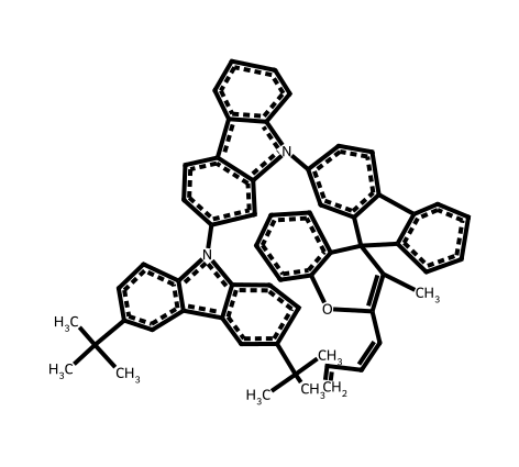 C=C/C=C\C1=C(C)C2(c3ccccc3O1)c1ccccc1-c1ccc(-n3c4ccccc4c4ccc(-n5c6ccc(C(C)(C)C)cc6c6cc(C(C)(C)C)ccc65)cc43)cc12